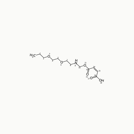 CCCOCCOCCNCOC(=O)/C=C\C(=O)O